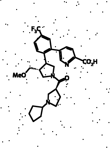 COC[C@H]1CN(C(=O)[C@H]2CCN(C3CCCC3)C2)CC1c1ccc(C(F)(F)F)cc1-c1ccc(C(=O)O)nc1